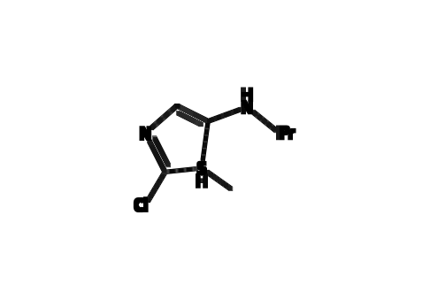 CC(C)NC1=CN=C(Cl)[SH]1C